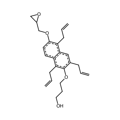 C=CCc1cc2c(CC=C)c(OCC3CO3)ccc2c(CC=C)c1OCCCO